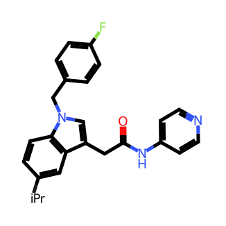 CC(C)c1ccc2c(c1)c(CC(=O)Nc1ccncc1)cn2Cc1ccc(F)cc1